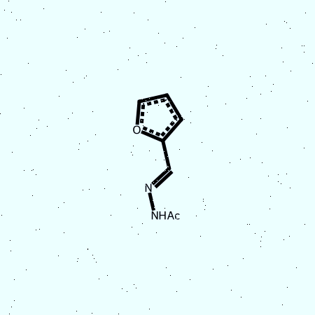 [CH2]C(=O)NN=Cc1ccco1